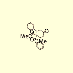 COC(=O)C1(C(=O)OC)C(c2ccccc2)CC(=O)CC1c1ccccc1